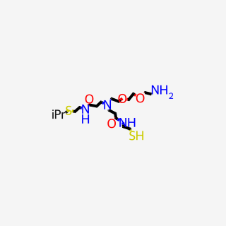 CC(C)SCCNC(=O)CCN(CCOCCOCCN)CCC(=O)NCCS